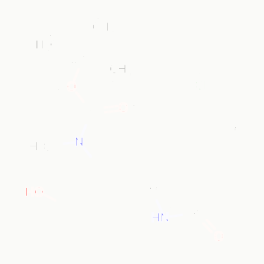 CN(CCC1(CCCO)NC(=O)c2ccc(Cl)cc21)C(=O)OC(C)(C)C